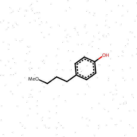 COCCCc1c[c]c(O)cc1